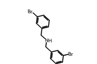 Brc1cccc(CNCc2cccc(Br)c2)c1